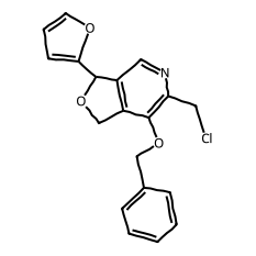 ClCc1ncc2c(c1OCc1ccccc1)COC2c1ccco1